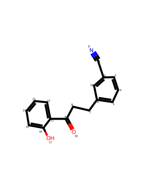 N#Cc1cccc(CCC(=O)c2c[c]ccc2O)c1